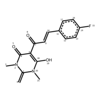 C=C1N(C)C(=O)C(C(=O)/C=C/c2ccc(F)cc2)=C(O)N1C